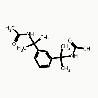 CC(=O)NC(C)(C)c1cccc(C(C)(C)NC(C)=O)c1